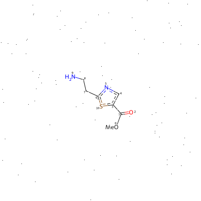 COC(=O)c1cnc(CCN)s1